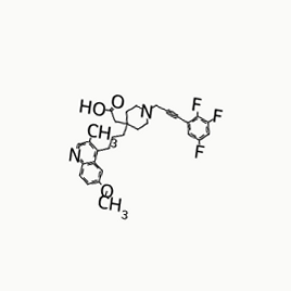 COc1ccc2ncc(C)c(CCCC3(CC(=O)O)CCN(CC#Cc4cc(F)cc(F)c4F)CC3)c2c1